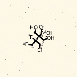 O=[N+]([O-])C(CO)(CO)C(F)(CF)CCl